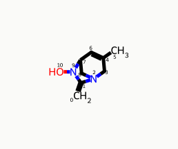 C=C1N2CC(C)=CC(C2)N1O